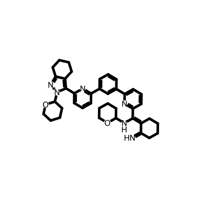 N=C1CCCC/C1=C(/NC1CCCCO1)c1cccc(-c2cccc(-c3cccc(-c4c5c(nn4C4CCCCO4)CCCC5)n3)c2)n1